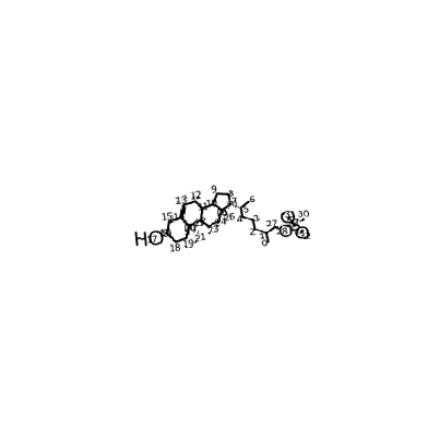 CC(CCCC(C)[C@H]1CCC2C3CC=C4C[C@@H](O)CC[C@]4(C)C3CC[C@@]21C)COS(C)(=O)=O